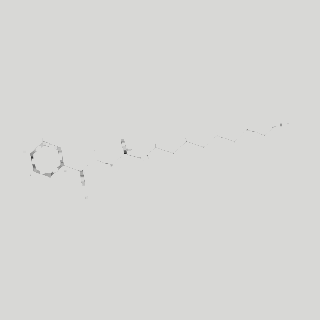 CCCCCCCCCCCCCCCCCCNC(=O)COC(=O)c1ccccc1